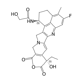 CC[C@@]1(O)C(=O)OC(=O)C2=C1C=C1c3nc4cc(F)c(C)c5c4c(c3CN1C2)[C@@H](NC(=O)CO)CC5